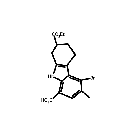 CCOC(=O)C1CCc2c([nH]c3c(C(=O)O)cc(C)c(Br)c23)C1